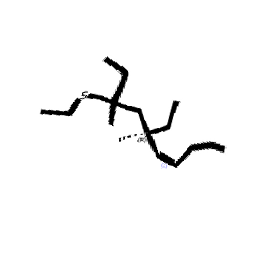 CC/C=C\[C@](C)(CC)CC(C)(CC)SCC